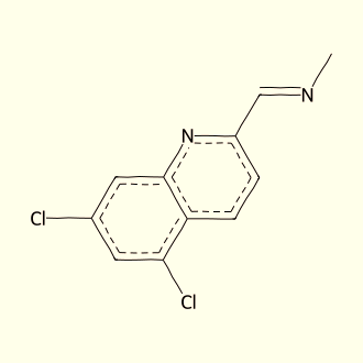 CN=Cc1ccc2c(Cl)cc(Cl)cc2n1